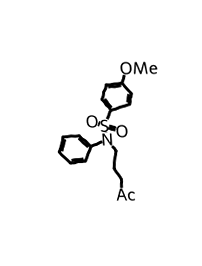 COc1ccc(S(=O)(=O)N(CCCC(C)=O)c2ccccc2)cc1